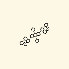 c1ccc(-c2c3ccc(-c4ccc5c6c(cccc46)Oc4ccccc4-5)cc3c(-c3ccccc3)c3ccc(-c4ccc5c6c(cccc46)-c4ccccc4O5)cc23)cc1